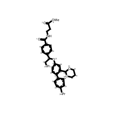 COC(=O)CCNC(=O)c1ccc(C(CC(C)C)Oc2ccc(-c3ccc(C(C)C)cc3)c(C3OCCCO3)c2)cc1